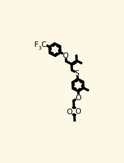 CC(C)=C(COc1ccc(C(F)(F)F)cc1)CSc1ccc(OCC2OC(C)O2)c(C)c1